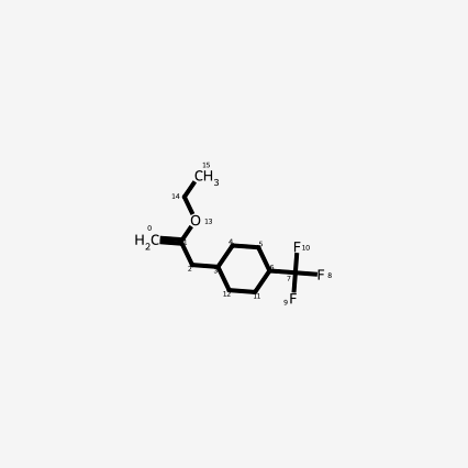 C=C(CC1CCC(C(F)(F)F)CC1)OCC